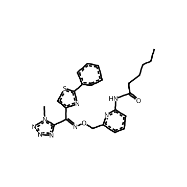 CCCCCC(=O)Nc1cccc(CO/N=C(\c2csc(-c3ccccc3)n2)c2nnnn2C)n1